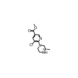 COC(=O)c1cnc(N2CCN[C@H](C)C2)c(Cl)c1